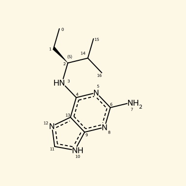 CC[C@H](Nc1nc(N)nc2[nH]cnc12)C(C)C